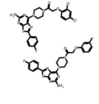 Cc1cccc(OCC(=O)N2CCN(c3nc(N)nc4sc(-c5ccc(F)cc5)nc34)CC2)c1.Nc1nc(N2CCN(C(=O)COc3ccc(Cl)cc3Cl)CC2)c2nc(-c3ccc(F)cc3)sc2n1